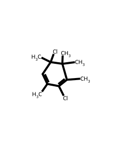 CC1=CC(C)(Cl)C(C)(C)C(C)=C1Cl